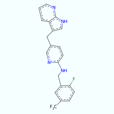 Fc1ccc(C(F)(F)F)cc1CNc1ccc(Cc2c[nH]c3ncccc23)cn1